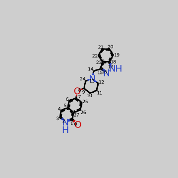 O=c1[nH]ccc2cc(OC3CCCN(Cc4n[nH]c5ccccc45)C3)ccc12